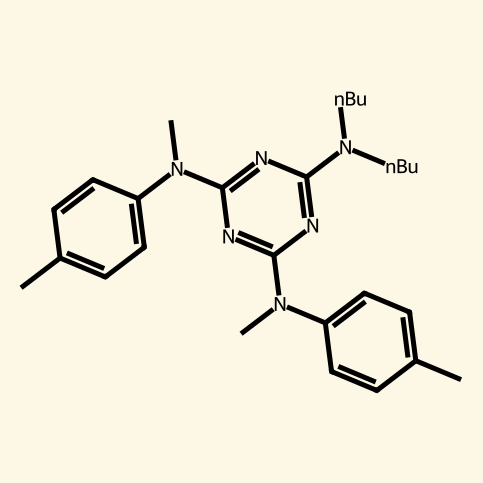 CCCCN(CCCC)c1nc(N(C)c2ccc(C)cc2)nc(N(C)c2ccc(C)cc2)n1